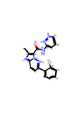 Cc1nc2ccc(-c3ccccc3Cl)nn2c1C(=O)Nc1cccnn1